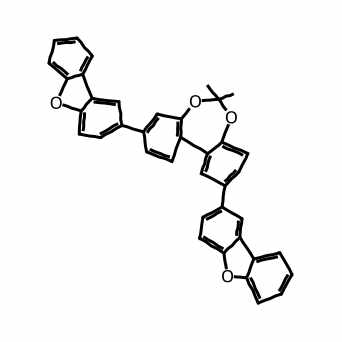 CC1(C)Oc2cc(-c3ccc4oc5ccccc5c4c3)ccc2-c2cc(-c3ccc4oc5ccccc5c4c3)ccc2O1